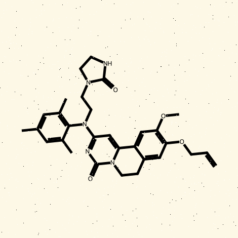 C=CCOc1cc2c(cc1OC)-c1cc(N(CCN3CCNC3=O)c3c(C)cc(C)cc3C)nc(=O)n1CC2